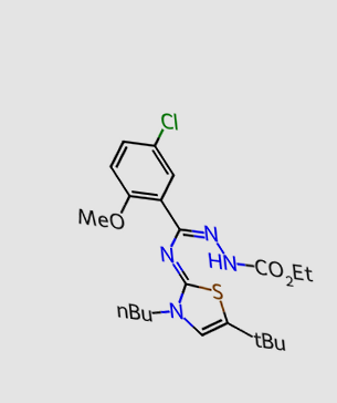 CCCCn1cc(C(C)(C)C)sc1=NC(=NNC(=O)OCC)c1cc(Cl)ccc1OC